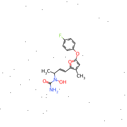 Cc1cc(Oc2ccc(F)cc2)oc1C=CC(C)N(O)C(N)=O